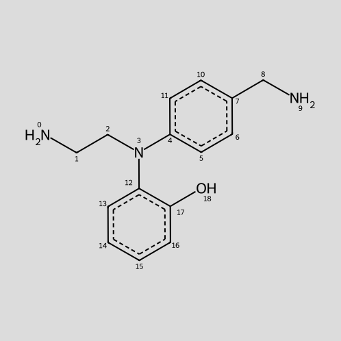 NCCN(c1ccc(CN)cc1)c1ccccc1O